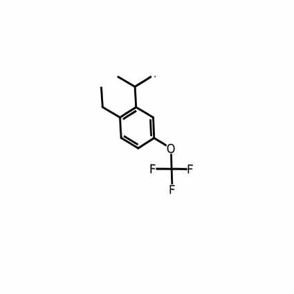 [CH2]C(C)c1cc(OC(F)(F)F)ccc1CC